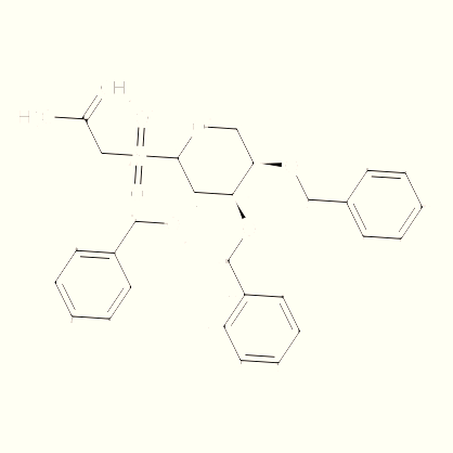 C=C(C)CS(=O)(=O)C1OC[C@@H](OCc2ccccc2)[C@@H](OCc2ccccc2)[C@@H]1OCc1ccccc1